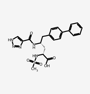 CS(=O)(=O)N[C@H](C[C@@H](Cc1ccc(-c2ccccc2)cc1)NC(=O)c1c[nH]nn1)C(=O)O